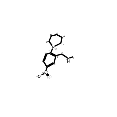 CNCc1cc([N+](=O)[O-])ccc1N1CCCCC1